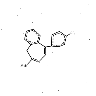 CNC1=NC=C(c2ccc(C(F)(F)F)cc2)c2ccccc2C1